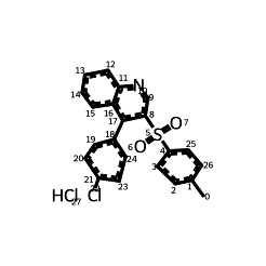 Cc1ccc(S(=O)(=O)c2cnc3ccccc3c2-c2ccc(Cl)cc2)cc1.Cl